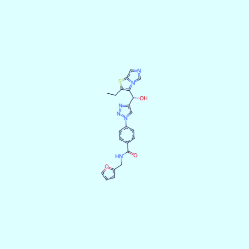 CCc1sc2cncn2c1C(O)c1cn(-c2ccc(C(=O)NCc3ccco3)cc2)nn1